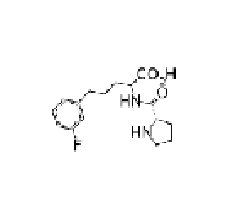 O=C(O)C(CCCc1cccc(F)c1)NC(=O)[C@@H]1CCCN1